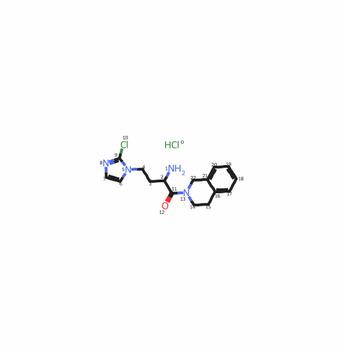 Cl.NC(CCn1ccnc1Cl)C(=O)N1CCc2ccccc2C1